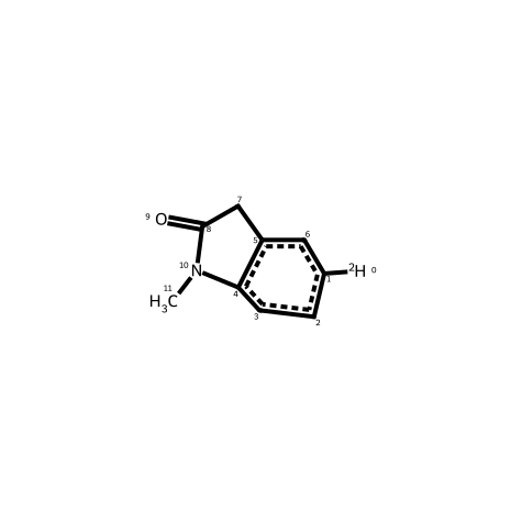 [2H]c1ccc2c(c1)CC(=O)N2C